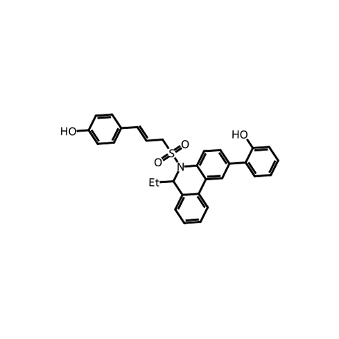 CCC1c2ccccc2-c2cc(-c3ccccc3O)ccc2N1S(=O)(=O)CC=Cc1ccc(O)cc1